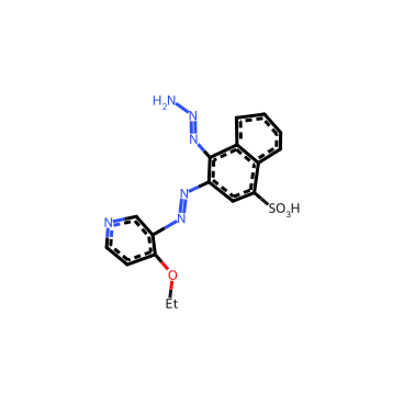 CCOc1ccncc1/N=N/c1cc(S(=O)(=O)O)c2ccccc2c1N=NN